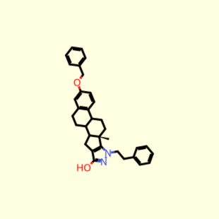 C[C@]12CCC3c4ccc(OCc5ccccc5)cc4CCC3C1Cc1c(O)nn(CCc3ccccc3)c12